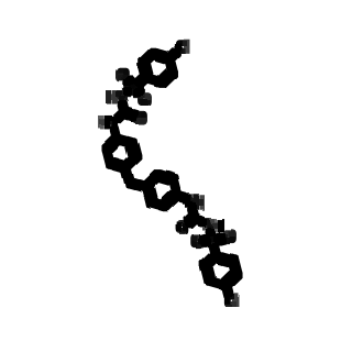 O=C(Nc1ccc(Cc2ccc(NC(=O)NS(=O)(=O)c3ccc(Cl)cc3)cc2)cc1)NS(=O)(=O)c1ccc(Cl)cc1